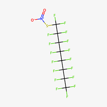 O=[N+]([O-])SC(F)(F)C(F)(F)C(F)(F)C(F)(F)C(F)(F)C(F)(F)C(F)(F)C(F)(F)F